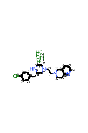 Cl.Cl.Cl.Cl.Clc1ccc(C[C@@H]2CN(CCN3CCc4ncccc4C3)CCN2)cc1